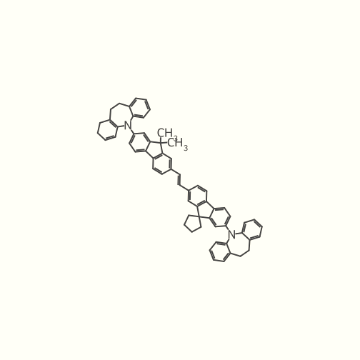 CC1(C)c2cc(/C=C/c3ccc4c(c3)C3(CCCC3)c3cc(N5c6ccccc6CCc6ccccc65)ccc3-4)ccc2-c2ccc(N3C4=C(CCC=C4)CCc4ccccc43)cc21